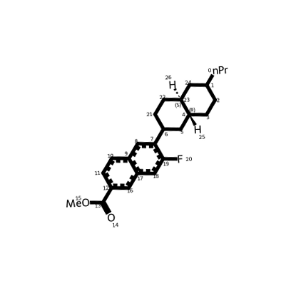 CCCC1CC[C@@H]2CC(c3cc4ccc(C(=O)OC)cc4cc3F)CC[C@H]2C1